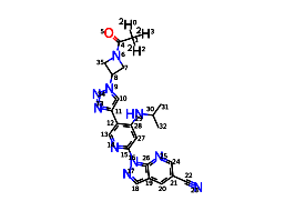 [2H]C([2H])([2H])C(=O)N1CC(n2cc(-c3cnc(-n4ncc5cc(C#N)cnc54)cc3NC(C)C)nn2)C1